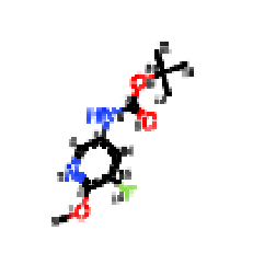 COc1ncc(NC(=O)OC(C)(C)C)cc1F